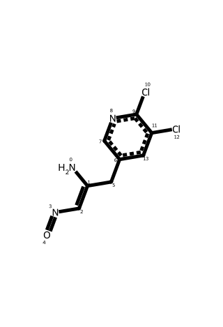 N/C(=C\N=O)Cc1cnc(Cl)c(Cl)c1